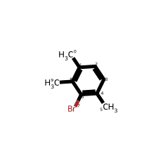 Cc1ccc(C)c(Br)c1C